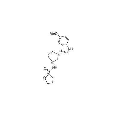 COc1ccc2[nH]cc([C@H]3CCC[C@@H](NC(=O)[C@H]4CCCO4)C3)c2c1